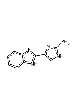 Pc1nc(-c2nc3ccccc3[nH]2)c[nH]1